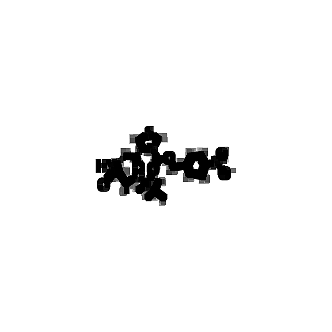 C[C@@H](O[Si](C)(C)C(C)(C)C)[C@H]1C(=O)N[C@@H]1CC(=O)[C@@H]1CSCN1C(=O)OCc1ccc([N+](=O)[O-])cc1